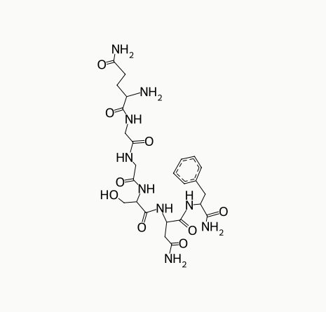 NC(=O)CCC(N)C(=O)NCC(=O)NCC(=O)NC(CO)C(=O)NC(CC(N)=O)C(=O)NC(Cc1ccccc1)C(N)=O